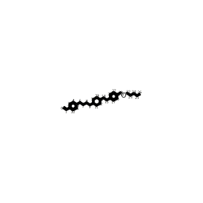 C=Cc1ccc(CCCCC2CCC(CCc3ccc(COCCCCC)cc3)CC2)cc1